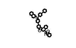 c1ccc(-c2ccc(N(c3ccc(-c4ccc5oc6cc(-c7nc8ccccc8o7)c7ccccc7c6c5c4)cc3)c3ccc4ccccc4c3)cc2)cc1